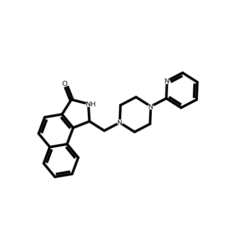 O=C1NC(CN2CCN(c3ccccn3)CC2)c2c1ccc1ccccc21